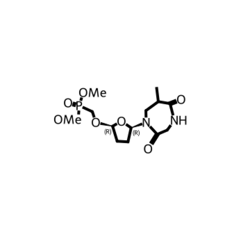 COP(=O)(CO[C@@H]1CC[C@H](N2CC(C)C(=O)NCC2=O)O1)OC